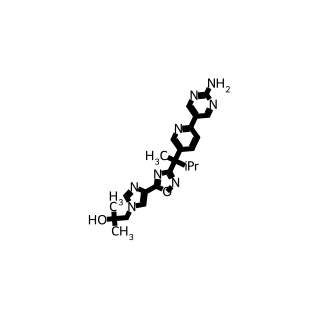 CC(C)C(C)(c1ccc(-c2cnc(N)nc2)nc1)c1noc(-c2cn(CC(C)(C)O)cn2)n1